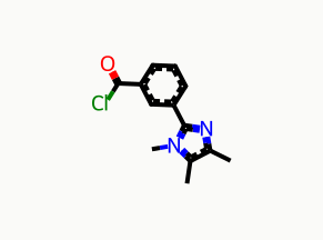 Cc1nc(-c2cccc(C(=O)Cl)c2)n(C)c1C